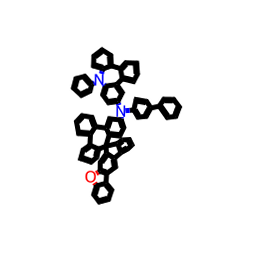 c1ccc(-c2ccc(N(c3ccc4c(c3)-c3ccccc3-c3ccccc3N4c3ccccc3)c3ccc4c(c3)-c3ccccc3-c3ccccc3C43c4ccccc4-c4cc5c(cc43)oc3ccccc35)cc2)cc1